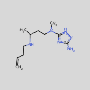 C=CCCNC(C)CCN(C)c1nc(N)n[nH]1